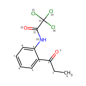 CCC(=O)c1ccccc1NC(=O)C(Cl)(Cl)Cl